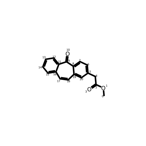 COC(=O)Cc1ccc2c(=O)c3ccccc3ccc2c1